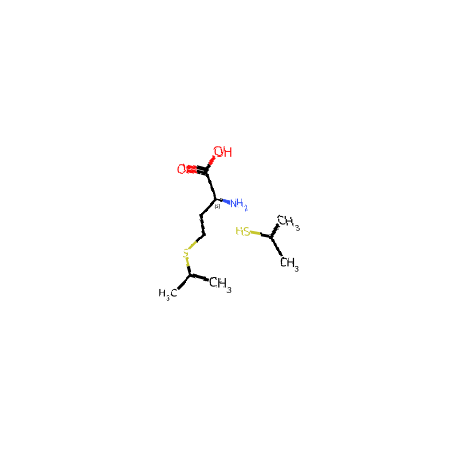 CC(C)S.CC(C)SCC[C@H](N)C(=O)O